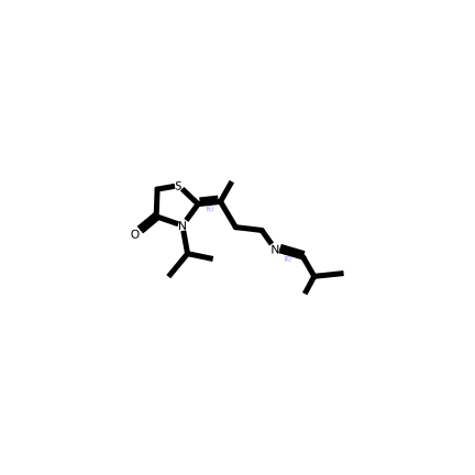 C/C(CC/N=C/C(C)C)=C1\SCC(=O)N1C(C)C